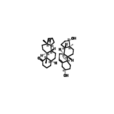 C[C@]12C(=O)CCC[C@@H]1CC[C@@H]1[C@@H]2CC[C@]2(C)C=CC[C@@H]12.C[C@]12CC[C@H]3[C@@H](CC=C4C[C@@H](O)CC[C@@]43C)[C@@H]1CC[C@@H]2O